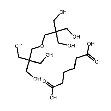 O=C(O)CCCCC(=O)O.OCC(CO)(CO)COCC(CO)(CO)CO